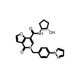 O=C(N[C@H]1CCC[C@@H]1O)c1cn(Cc2ccc(-n3cccn3)cc2)c(=O)c2ccoc12